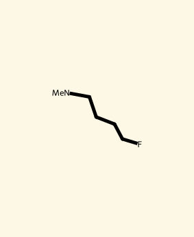 CNCCCCF